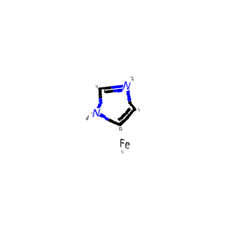 C1=CN=C[N]1.[Fe]